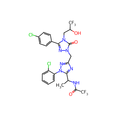 CC(NC(=O)C(F)(F)F)c1nc(Cn2nc(-c3ccc(Cl)cc3)n(CC(O)C(F)(F)F)c2=O)nn1-c1ccccc1Cl